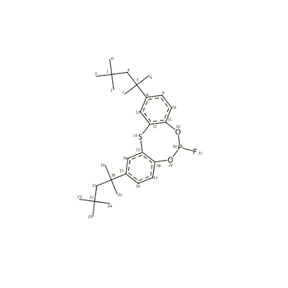 CC(C)(C)CC(C)(C)c1ccc2c(c1)Sc1cc(C(C)(C)CC(C)(C)C)ccc1OP(F)O2